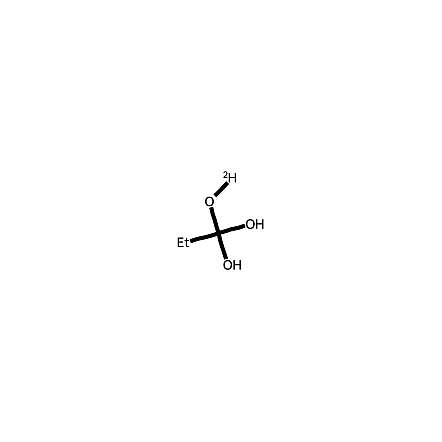 [2H]OC(O)(O)CC